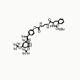 [2H]/C(=C(/[2H])C1([2H])C=C(OC([2H])([2H])[2H])CC([2H])(OC([2H])([2H])[2H])C1([2H])[2H])c1ccc(OC(=O)NCCNC(=O)C(Cc2ccccc2)NC(=O)OC(C)(C)C)cc1